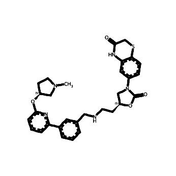 CN1CC[C@H](Oc2cccc(-c3cccc(CNCC[C@H]4CN(c5ccc6c(c5)NC(=O)CS6)C(=O)O4)c3)n2)C1